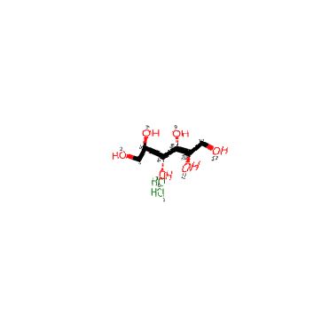 Cl.Cl.OC[C@@H](O)[C@@H](O)[C@H](O)[C@H](O)CO